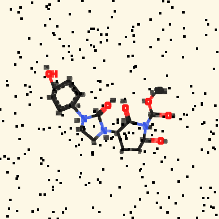 CC(C)(C)OC(=O)N1C(=O)CCC(N2CCN(c3ccc(O)cc3)C2=O)C1=O